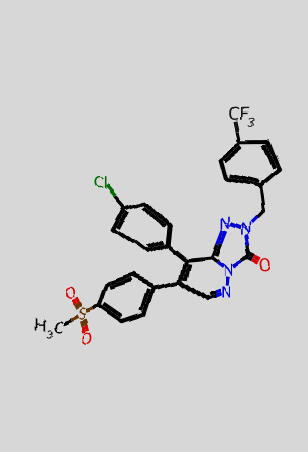 CS(=O)(=O)c1ccc(-c2cnn3c(=O)n(Cc4ccc(C(F)(F)F)cc4)nc3c2-c2ccc(Cl)cc2)cc1